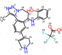 Cc1nnn2c1-c1ccc(C3=CCNCC3)cc1C(Nc1ccccc1O)CC2.O=C(O)C(F)(F)F